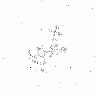 Nc1nc2c(ncn2[C@@]2(F)C[C@H](O)[C@@H](COP(=O)(O)O)O2)c(=O)[nH]1